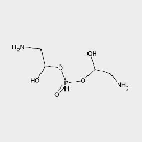 NCC(O)O[PH](=O)OC(O)CN